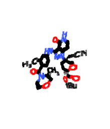 Cc1cc(Nc2nn([C@]3(CC#N)CC[C@@H](C(=O)OC(C)(C)C)OC3)c3cc[nH]c(=O)c23)ccc1C(=O)N1CCOC[C@@H]1C